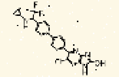 Oc1nc2nc(-c3ccc(-c4ccc(C(NC5CC5)C(F)(F)F)cc4)cc3)c(Cl)cc2[nH]1